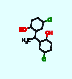 CC(C1CC(Cl)CCC1O)C1CC(Cl)CCC1O